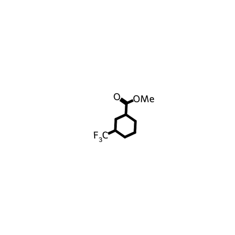 COC(=O)C1CCCC(C(F)(F)F)C1